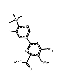 COC(=O)c1nc(-c2ccc([Si](C)(C)C)c(F)c2)nc(N)c1OC